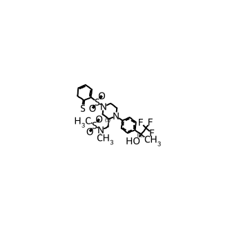 CN(C[C@H]1CN(S(=O)(=O)C2=CC=CCC2=S)CCN1c1ccc([C@@](C)(O)C(F)(F)F)cc1)S(C)(=O)=O